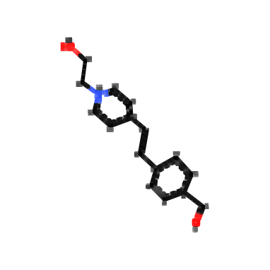 O=Cc1ccc(C=Cc2cc[n+](CCO)cc2)cc1